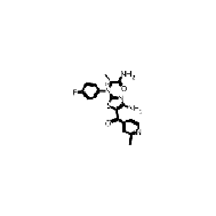 Cc1cc(C(=O)c2sc(N(c3ccc(F)cc3)[C@@H](C)C(N)=O)nc2N)ccn1